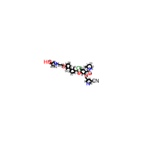 Cc1c(COc2cc(OCc3cncc(C#N)c3)c(C(=O)N3CCCC[C@H]3C)cc2Cl)cccc1-c1cccc(OCCCN2CC[C@@H](O)C2)c1C